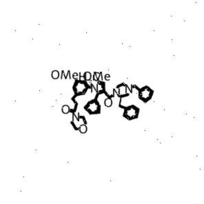 COc1cc(CCC(=O)N2CCOCC2)cc(-n2c(C)cc(C(=O)N3CCN(Cc4ccccc4)C[C@H]3Cc3ccccc3)c2-c2ccccc2)c1OC